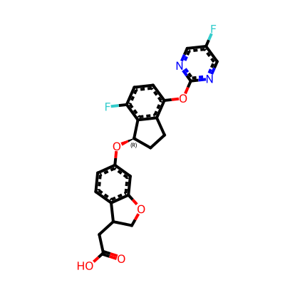 O=C(O)CC1COc2cc(O[C@@H]3CCc4c(Oc5ncc(F)cn5)ccc(F)c43)ccc21